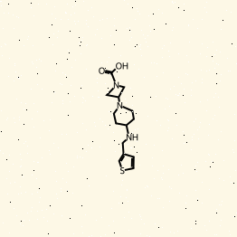 O=C(O)N1CC(N2CCC(NCc3ccsc3)CC2)C1